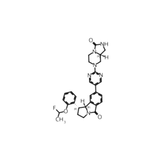 CC(F)Oc1ccccc1[C@H]1CCN2C(=O)c3ccc(-c4cnc(N5CCN6C(=O)NC[C@@H]6C5)nc4)cc3[C@@H]12